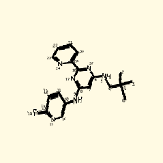 CC(C)(C)CNc1cc(Nc2ccc(F)nc2)nc(-c2ccccn2)n1